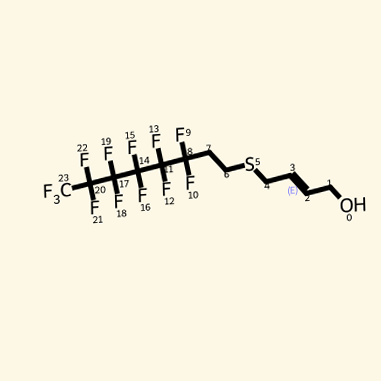 OC/C=C/CSCCC(F)(F)C(F)(F)C(F)(F)C(F)(F)C(F)(F)C(F)(F)F